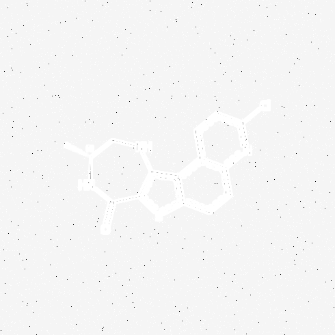 C[C@@H]1CNc2c(sc3ccc4nc(Cl)ccc4c23)C(=O)N1